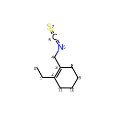 CCC1=C(CN=C=S)CCCC1